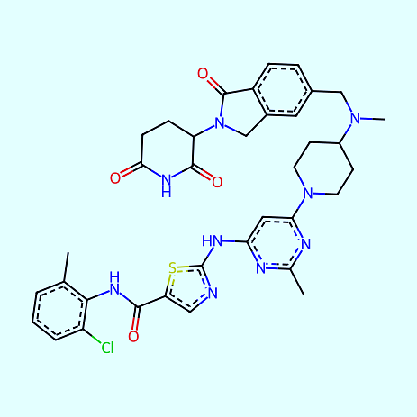 Cc1nc(Nc2ncc(C(=O)Nc3c(C)cccc3Cl)s2)cc(N2CCC(N(C)Cc3ccc4c(c3)CN(C3CCC(=O)NC3=O)C4=O)CC2)n1